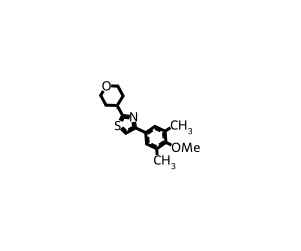 COc1c(C)cc(-c2csc([C]3CCOCC3)n2)cc1C